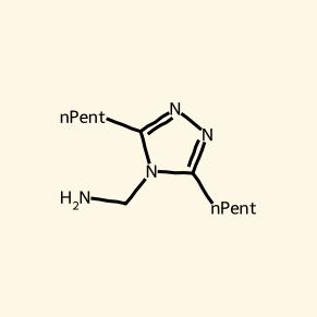 CCCCCc1nnc(CCCCC)n1CN